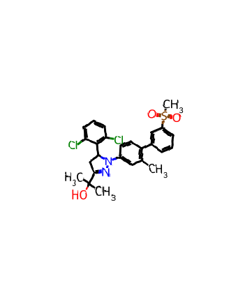 Cc1cc(N2N=C(C(C)(C)O)CC2c2c(Cl)cccc2Cl)ccc1-c1cccc(S(C)(=O)=O)c1